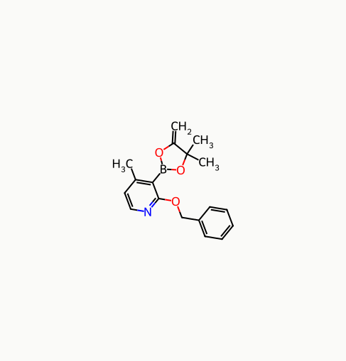 C=C1OB(c2c(C)ccnc2OCc2ccccc2)OC1(C)C